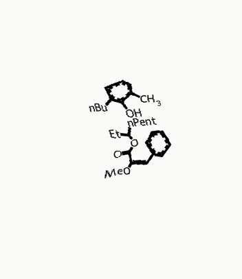 CCCCCC(CC)OC(=O)C(=Cc1ccccc1)OC.CCCCc1cccc(C)c1O